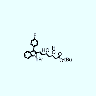 CCCn1c(/C=C/[C@H](O)C[C@H](O)CC(=O)OC(C)(C)C)c(-c2ccc(F)cc2)c2ccccc21